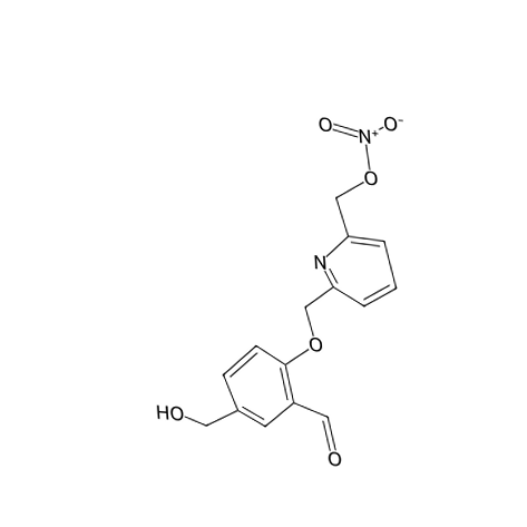 O=Cc1cc(CO)ccc1OCc1cccc(CO[N+](=O)[O-])n1